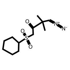 CC(C)(C=[N+]=[N-])C(=O)CS(=O)(=O)C1CCCCC1